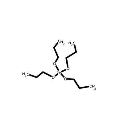 CCCO[Se](OCCC)(OCCC)OCCC